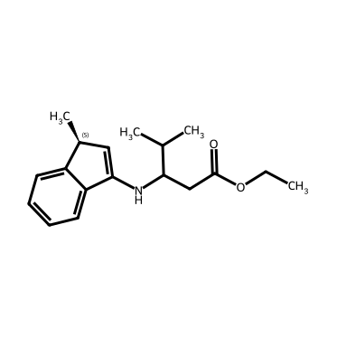 CCOC(=O)CC(NC1=C[C@H](C)c2ccccc21)C(C)C